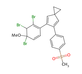 COC1(Br)C=CC(C2=CC3(C=C2c2ccc(S(C)(=O)=O)cc2)CC3)=C(Br)C1Br